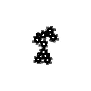 c1cc(-c2cc3c4c(c2)Oc2ccccc2B4c2ccccc2O3)cc(-c2cccc3oc4cc5c6cccc7c8ccccc8n(c5cc4c23)c76)c1